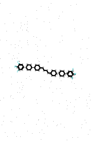 Fc1cc([C@H]2CC[C@H](C3CCC(CCCCC4CCC([C@H]5CC[C@H](c6cc(F)c(F)c(F)c6)CC5)CC4)CC3)CC2)cc(F)c1F